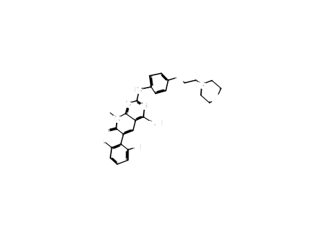 Cn1c(=O)c(-c2c(Cl)cccc2Cl)cc2c(N)nc(Nc3ccc(OCCN4CCOCC4)cc3)nc21